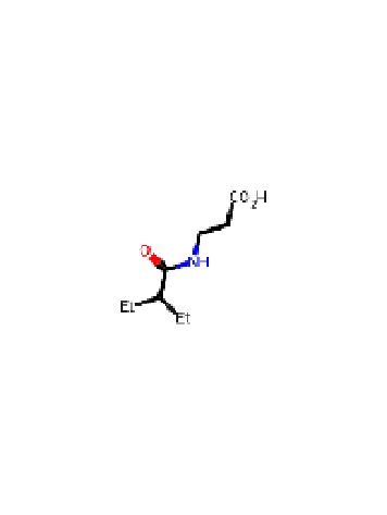 CCC(CC)C(=O)NCCC(=O)O